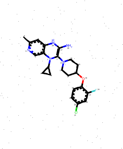 Cc1cc2c(cn1)N(C1CC1)C(N1CCC(Oc3ccc(Cl)cc3F)CC1)=C(N)N2